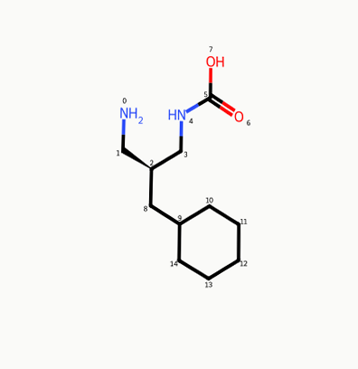 NC[C@@H](CNC(=O)O)CC1CCCCC1